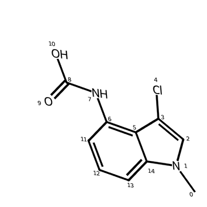 Cn1cc(Cl)c2c(NC(=O)O)cccc21